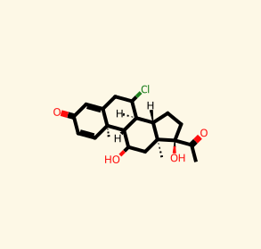 CC(=O)[C@@]1(O)CC[C@H]2[C@@H]3C(Cl)CC4=CC(=O)C=C[C@]4(C)[C@H]3C(O)C[C@@]21C